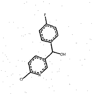 OC(c1ccc(F)cc1)c1ccc(Cl)nc1